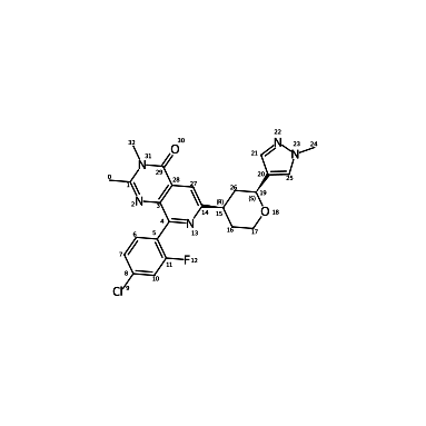 Cc1nc2c(-c3ccc(Cl)cc3F)nc([C@@H]3CCO[C@H](c4cnn(C)c4)C3)cc2c(=O)n1C